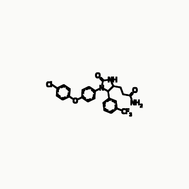 NC(=O)CCC1NC(=O)N(c2ccc(Oc3ccc(Cl)cc3)cc2)C1c1cccc(C(F)(F)F)c1